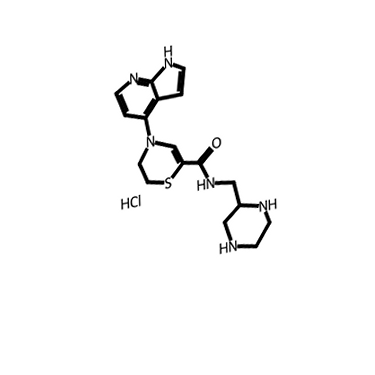 Cl.O=C(NCC1CNCCN1)C1=CN(c2ccnc3[nH]ccc23)CCS1